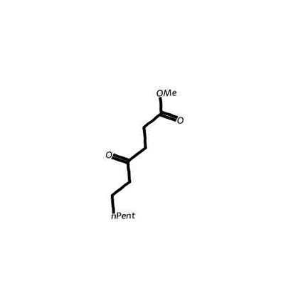 CCCCCCCC(=O)CCC(=O)OC